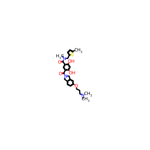 Cc1ccc(CN(C)C(=O)c2cc(C(=O)N3Cc4ccc(OCCCN(C)C)cc4C3)c(O)cc2O)s1